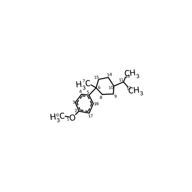 COc1ccc(C2(C)CCC(C(C)C)CC2)cc1